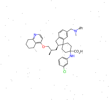 CC(C)N(C)Cc1ccc2c(c1)C1(CCC(Nc3cccc(Cl)c3)(C(=O)O)CC1)[C@@H](C[C@@H](C)COc1ccnc3c1[C@H](C)CCC3)C2